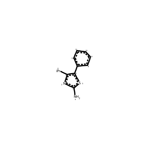 CC(C)c1nc(N)sc1-c1ccccc1